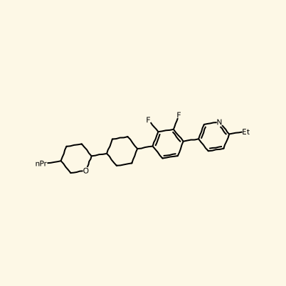 CCCC1CCC(C2CCC(c3ccc(-c4ccc(CC)nc4)c(F)c3F)CC2)OC1